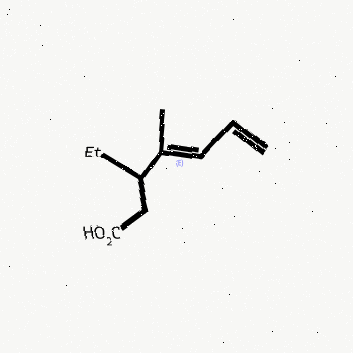 C=C/C=C(\C)C(CC)CC(=O)O